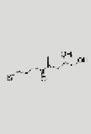 O=C(CCCS)NCC(O)CO